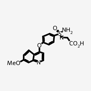 COc1ccc2c(Oc3ccc(S(N)(=O)=NCC(=O)O)cc3)ccnc2c1